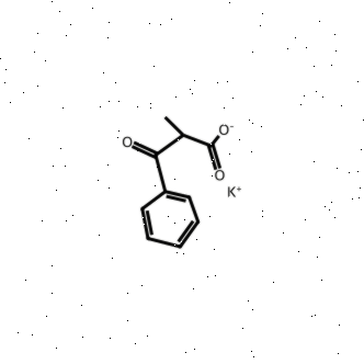 CC(C(=O)[O-])C(=O)c1ccccc1.[K+]